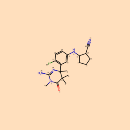 CN1C(=O)C(C)(C)C(C)(c2cc(NC3CCCC3C#N)ccc2F)N=C1N